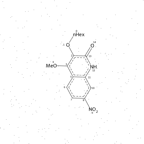 CCCCCCOc1c(OC)c2ccc([N+](=O)[O-])cc2[nH]c1=O